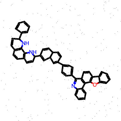 C1=CC2C=CC(C3C=Cc4ccc5c(c4N3)NC(c3ccccc3)C=C5)=CC2C=C1c1ccc(-c2nc3ccccc3c3c2ccc2c4ccccc4oc23)cc1